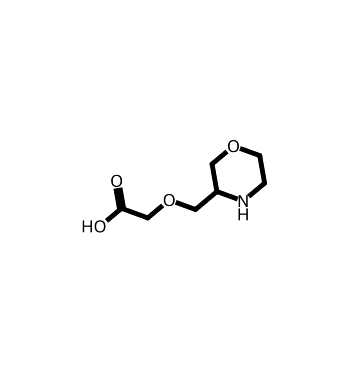 O=C(O)COCC1COCCN1